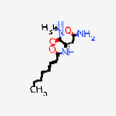 CCCCCCCC(=O)N[C@H](CC(N)=O)C(=O)NC